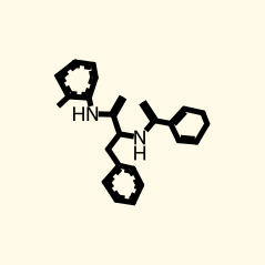 C=C(NC(Cc1ccccc1)C(=C)Nc1ccccc1C)C1=CCCC=C1